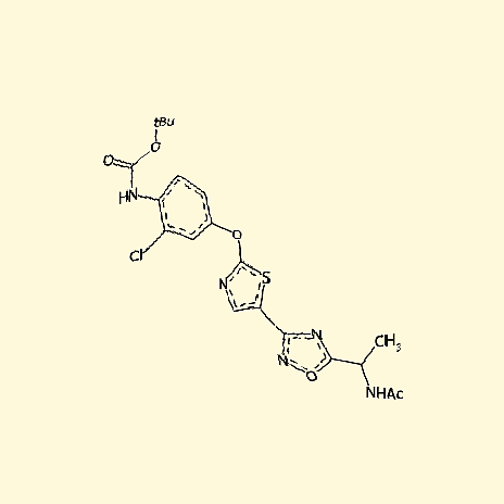 CC(=O)NC(C)c1nc(-c2cnc(Oc3ccc(NC(=O)OC(C)(C)C)c(Cl)c3)s2)no1